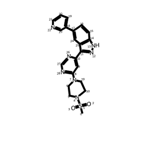 CS(=O)(=O)N1CCN(c2cc(-c3n[nH]c4ccc(-c5cccnc5)cc34)ncn2)CC1